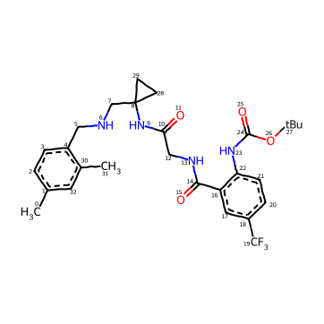 Cc1ccc(CNCC2(NC(=O)CNC(=O)c3cc(C(F)(F)F)ccc3NC(=O)OC(C)(C)C)CC2)c(C)c1